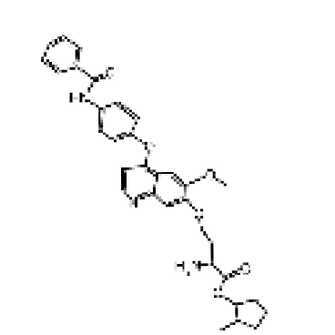 COc1cc2c(Oc3ccc(NC(=O)c4ccccc4)cc3)ccnc2cc1OCC[C@H](N)C(=O)OC1CCCC1C